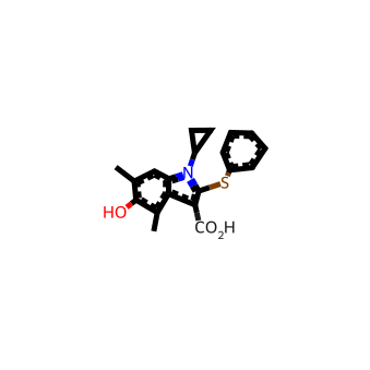 Cc1cc2c(c(C)c1O)c(C(=O)O)c(Sc1ccccc1)n2C1CC1